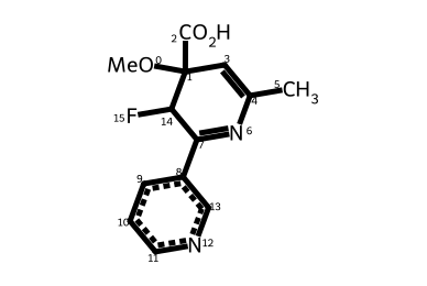 COC1(C(=O)O)C=C(C)N=C(c2cccnc2)C1F